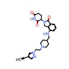 C#Cc1cnn(CCN2CCC(CNc3cccc4c3CN(C3CCC(=O)NC3=O)C4=O)CC2)c1